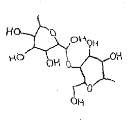 CC1OC(C(O)OC2C(CO)OC(C)C(O)C2O)C(O)C(O)C1O